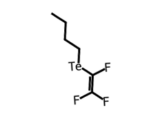 CCCC[Te]C(F)=C(F)F